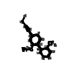 CC(C)Oc1cc(C#CSI)ccc1-c1ccccc1C(F)(F)F